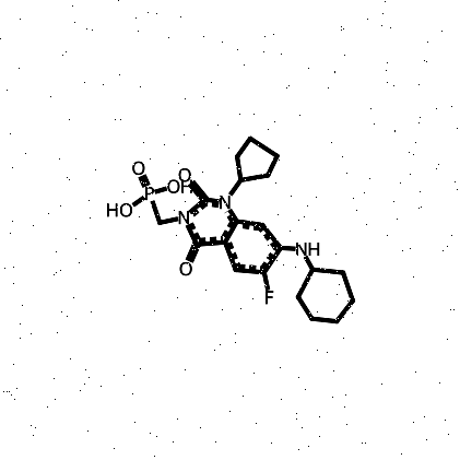 O=c1c2cc(F)c(NC3CCCCC3)cc2n(C2CCCC2)c(=O)n1CP(=O)(O)O